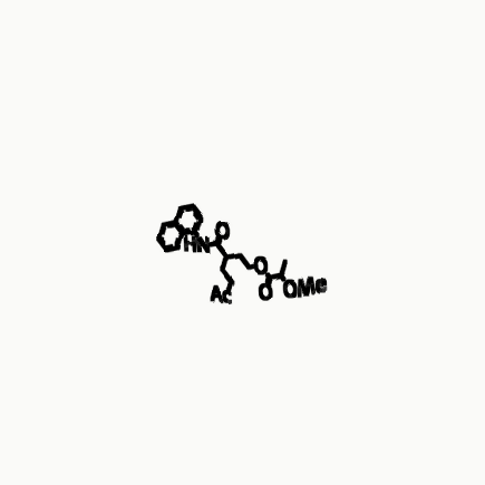 COC(C)C(=O)OCCC(CCC(C)=O)C(=O)Nc1cccc2ccccc12